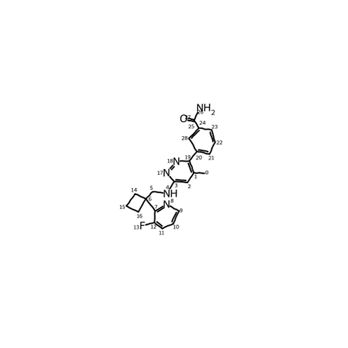 Cc1cc(NCC2(c3ncccc3F)CCC2)nnc1-c1cccc(C(N)=O)c1